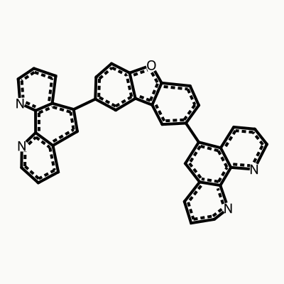 c1cnc2c(c1)cc(-c1ccc3oc4ccc(-c5cc6cccnc6c6ncccc56)cc4c3c1)c1cccnc12